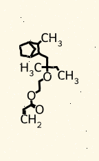 C=CC(=O)OCCOC(C)(CC)CC1C2CCC(C2)C1C